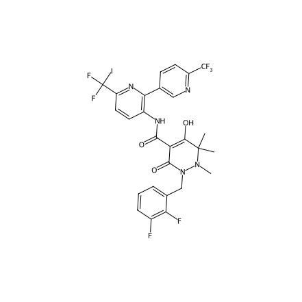 CN1N(Cc2cccc(F)c2F)C(=O)C(C(=O)Nc2ccc(C(F)(F)I)nc2-c2ccc(C(F)(F)F)nc2)=C(O)C1(C)C